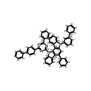 c1ccc(-c2ccc(-c3nc(-c4ccccc4)nc(-n4c5ccccc5c5c(-c6ccccc6)cc6c(c7ccccc7n6-c6cccc(-c7ccccc7)c6)c54)n3)cc2)cc1